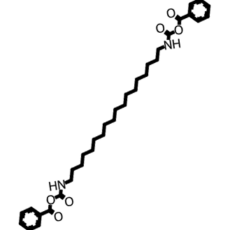 O=C(NCCCCCCCCCCCCCCCCCCNC(=O)OC(=O)c1ccccc1)OC(=O)c1ccccc1